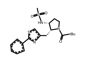 CC(C)(C)C(=O)N1CC[C@@H](NS(C)(=O)=O)[C@H]1Cc1csc(-c2ccccc2)n1